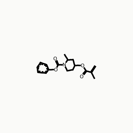 C=C(C)C(=O)OC1CCN(C(=O)Oc2ccccc2)C(C)C1